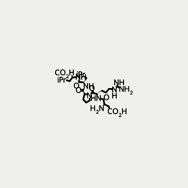 CC(C)C[C@H](NC(=O)[C@H](CC(C)C)NC(=O)[C@@H]1CCCN1C(=O)[C@H](CCCNC(=N)N)NC(=O)[C@@H](N)CC(=O)O)C(=O)O